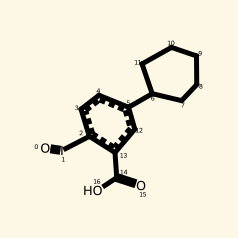 O=Ic1ccc(C2CCCCC2)cc1C(=O)O